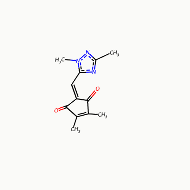 CC1=C(C)C(=O)C(=Cc2nc(C)nn2C)C1=O